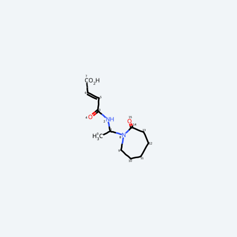 CC(NC(=O)C=CC(=O)O)N1CCCCCC1=O